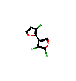 Brc1ccoc1-c1[c]oc(Br)c1Br